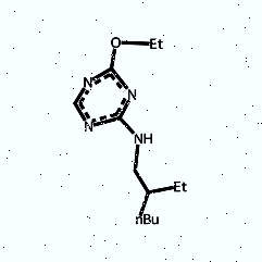 CCCCC(CC)CNc1ncnc(OCC)n1